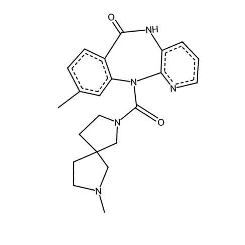 Cc1ccc2c(c1)N(C(=O)N1CCC3(CCN(C)C3)C1)c1ncccc1NC2=O